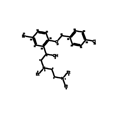 CCN(CC)CCN(CC)CC(O)c1cc(Br)ccc1OCc1ccc(Cl)cc1